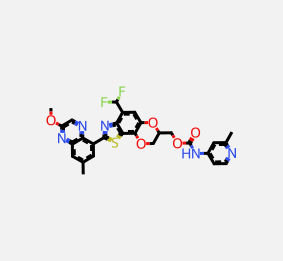 COc1cnc2c(-c3nc4c(C(F)F)cc5c(c4s3)OCC(COC(=O)Nc3ccnc(C)c3)O5)cc(C)cc2n1